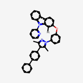 Cc1nn(-c2cccc(Oc3ccc4c5ccccc5n(-c5ccccn5)c4[c]3[Pt])c2)c(C)c1-c1ccc(-c2ccccc2)cc1